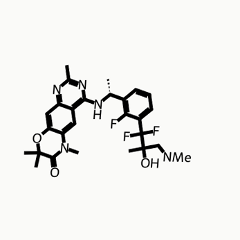 CNCC(C)(O)C(F)(F)c1cccc([C@@H](C)Nc2nc(C)nc3cc4c(cc23)N(C)C(=O)C(C)(C)O4)c1F